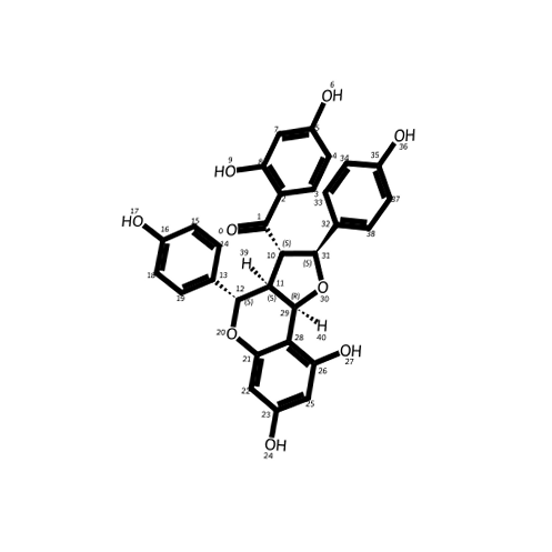 O=C(c1ccc(O)cc1O)[C@H]1[C@@H]2[C@@H](c3ccc(O)cc3)Oc3cc(O)cc(O)c3[C@@H]2O[C@@H]1c1ccc(O)cc1